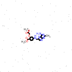 COC(=O)COc1cc(NCc2cnc3nc(C)nc(N)c3n2)ccc1C(=O)OC